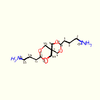 NCCCC1OCC2(CO1)COC(CCCN)OC2